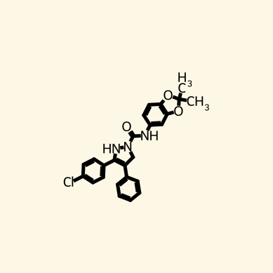 CC1(C)Oc2ccc(NC(=O)N3CC(c4ccccc4)=C(c4ccc(Cl)cc4)N3)cc2O1